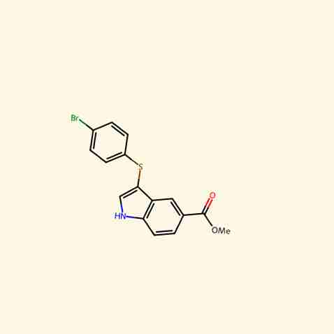 COC(=O)c1ccc2[nH]cc(Sc3ccc(Br)cc3)c2c1